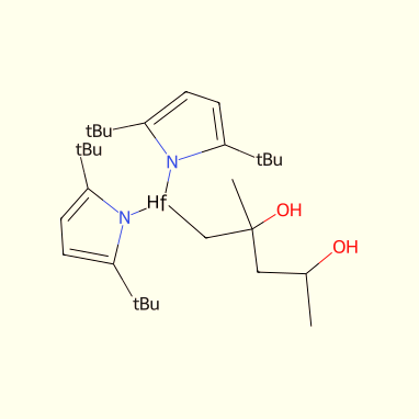 CC(O)CC(C)(O)[CH2][Hf]([n]1c(C(C)(C)C)ccc1C(C)(C)C)[n]1c(C(C)(C)C)ccc1C(C)(C)C